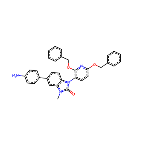 Cn1c(=O)n(-c2ccc(OCc3ccccc3)nc2OCc2ccccc2)c2ccc(-c3ccc(N)cc3)cc21